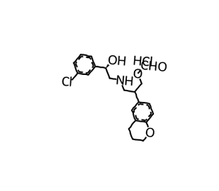 Cl.O=COCC(CNC[C@H](O)c1cccc(Cl)c1)c1ccc2c(c1)CCCO2